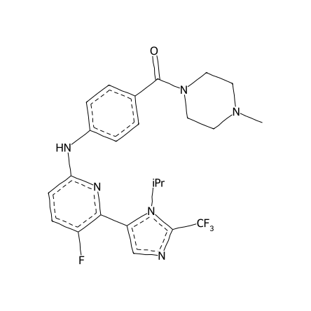 CC(C)n1c(-c2nc(Nc3ccc(C(=O)N4CCN(C)CC4)cc3)ccc2F)cnc1C(F)(F)F